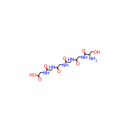 N[C@@H](CO)C(=O)NCC(=O)NCC(=O)NCC(=O)NCC(=O)NCC(=O)O